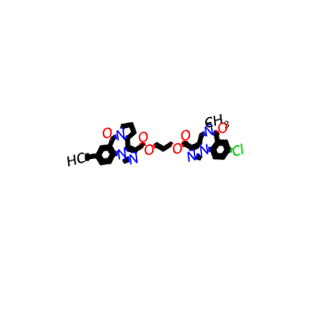 C#Cc1ccc2c(c1)C(=O)N1CCCC1c1c(C(=O)OCCCOC(=O)c3ncn4c3CN(C)C(=O)c3cc(Cl)ccc3-4)ncn1-2